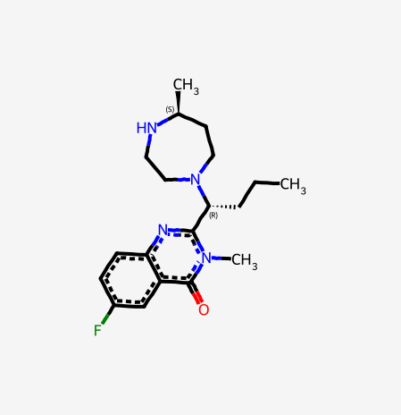 CCC[C@H](c1nc2ccc(F)cc2c(=O)n1C)N1CCN[C@@H](C)CC1